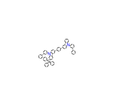 c1ccc(-c2cccc(-n3c4ccccc4c4cc(-c5ccc(-c6ccc7c(c6)c6ccc([Si](c8ccccc8)(c8ccccc8)c8ccccc8)cc6n7-c6cccc(-c7ccccc7)c6)cc5)ccc43)c2)cc1